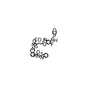 O=C(O)Oc1nc(N2CCc3cccc(C(=O)Nc4nc5ccccc5s4)c3C2)sc1CCCOc1cc(F)c(NCCN2CCOCC2)cc1F